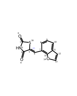 O=C1NC(=O)/C(=C/c2cccc3ccoc23)S1